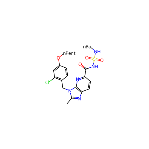 CCCCCOc1ccc(Cn2c(C)nc3ccc(C(=O)NS(=O)(=O)NCCCC)nc32)c(Cl)c1